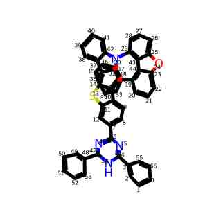 c1ccc(C2=NC(c3ccc4c(c3)sc3cccc(-c5cccc6oc7cccc(-n8c9ccccc9c9ccccc98)c7c56)c34)=NC(c3ccccc3)N2)cc1